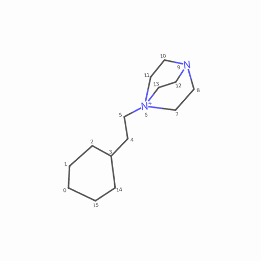 C1CCC(CC[N+]23CCN(CC2)CC3)CC1